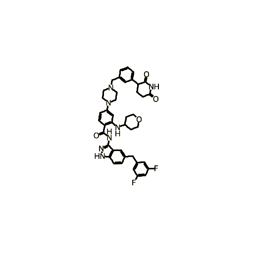 O=C1CCC(c2cccc(CN3CCN(c4ccc(C(=O)Nc5n[nH]c6ccc(Cc7cc(F)cc(F)c7)cc56)c(NC5CCOCC5)c4)CC3)c2)C(=O)N1